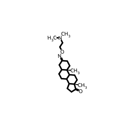 CN(C)CCO/N=C1\CC[C@@]2(C)C(CCC3C2CC[C@]2(C)C(=O)CCC32)C1